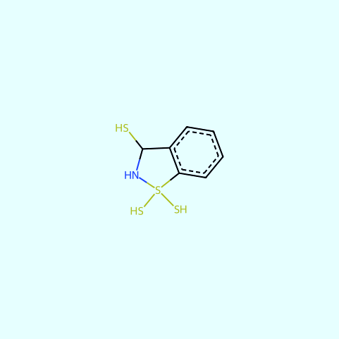 SC1NS(S)(S)c2ccccc21